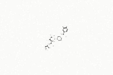 Cn1c([C@H]2CCC[C@@H](NC(=O)c3ccc(Cl)c(Cl)c3)C2)nc(C(=O)Nc2cnoc2)c(O)c1=O